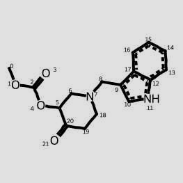 COC(=O)OC1CN(Cc2c[nH]c3ccccc23)CCC1=O